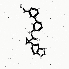 O=C(Nc1cccc(-c2cccc(CO)c2)c1)C1(c2ccc3c(c2)OCO3)CC1